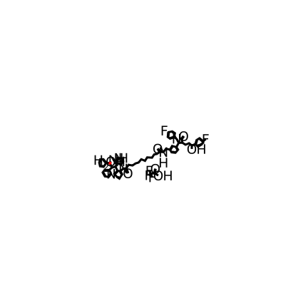 Nc1ncccc1C(c1ccccc1NC(=O)CCCCCCCCCCC(=O)NCc1cccc(C2C(CCC(O)c3ccc(F)cc3)C(=O)N2c2ccc(F)cc2)c1)C(c1ccccn1)C(O)c1ccccc1.O=C(O)C(F)(F)F